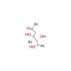 CC(=O)C(=O)C[C@@](O)(C(C)=O)[C@H](O)C(O)C(C)=O